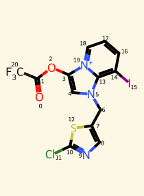 O=C(Oc1cn(Cc2cnc(Cl)s2)c2c(I)ccc[n+]12)C(F)(F)F